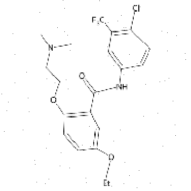 CCOc1ccc(OCCN(C)C)c(C(=O)Nc2ccc(Cl)c(C(F)(F)F)c2)c1